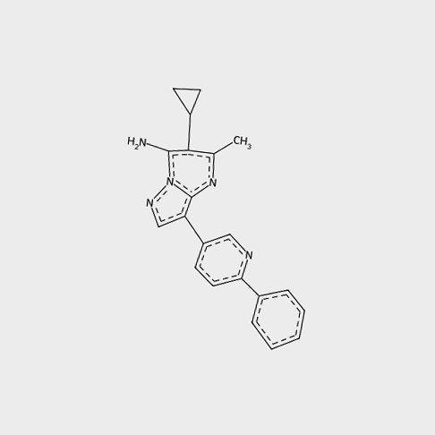 Cc1nc2c(-c3ccc(-c4ccccc4)nc3)cnn2c(N)c1C1CC1